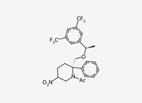 CC(=O)N1CC([N+](=O)[O-])CC[C@@]1(CO[C@H](C)c1cc(C(F)(F)F)cc(C(F)(F)F)c1)c1ccccc1